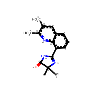 CC(C)C1(C)N=C(c2cccc3cc(C(=O)O)c(C(=O)O)nc23)NC1=O